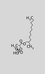 CCCCCCCCCCC(CC)COC(=O)C(C)OS(=O)(=O)O